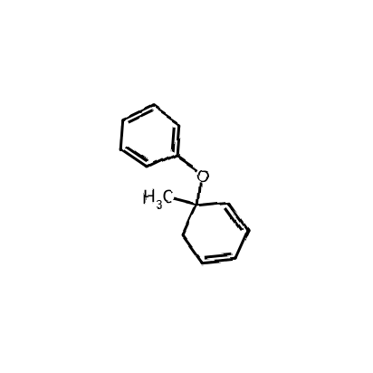 CC1(Oc2ccccc2)C=CC=CC1